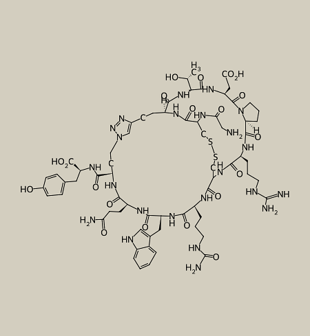 C[C@@H](O)[C@@H]1NC(=O)[C@@H]2CCc3cn(nn3)CC[C@H](C(=O)N[C@@H](Cc3ccc(O)cc3)C(=O)O)NC(=O)[C@H](CCC(N)=O)NC(=O)[C@H](Cc3c[nH]c4ccccc34)NC(=O)[C@H](CCCNC(N)=O)NC(=O)C(CSSCC(NC(=O)CN)C(=O)N2)NC(=O)[C@H](CCCNC(=N)N)NC(=O)[C@@H]2CCCN2C(=O)[C@H](CC(=O)O)NC1=O